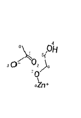 CC(=O)[O-].OCC[O][Zn+]